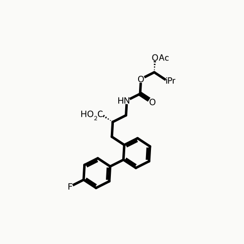 CC(=O)O[C@@H](OC(=O)NC[C@H](Cc1ccccc1-c1ccc(F)cc1)C(=O)O)C(C)C